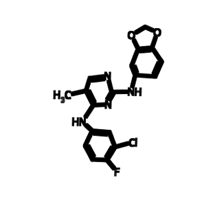 Cc1cnc(Nc2ccc3c(c2)OCO3)nc1Nc1ccc(F)c(Cl)c1